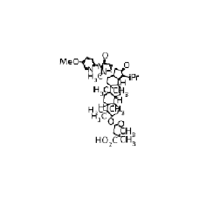 COc1ccc(-n2c(=O)cc([C@@]34CC[C@]5(C)[C@H](CC[C@@H]6[C@@]7(C)CC[C@H](OC(=O)CC(C)(C)C(=O)O)C(C)(C)[C@@H]7CC[C@]65C)C3=C(C(C)C)C(=O)C4)n2C)nc1